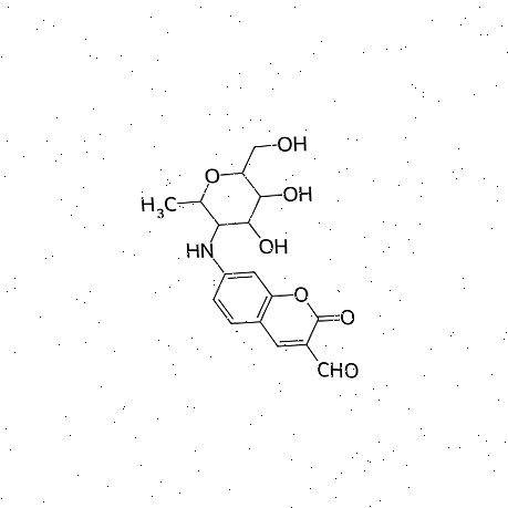 CC1OC(CO)C(O)C(O)C1Nc1ccc2cc(C=O)c(=O)oc2c1